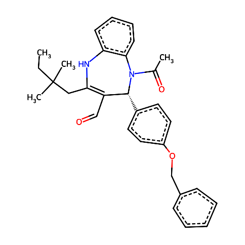 CCC(C)(C)CC1=C(C=O)[C@@H](c2ccc(OCc3ccccc3)cc2)N(C(C)=O)c2ccccc2N1